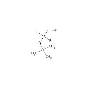 CC(C)(C)OC(F)(F)CF